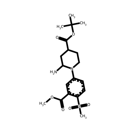 COC(=O)c1cc(N2CCC(C(=O)OC(C)(C)C)CC2N)ccc1S(C)(=O)=O